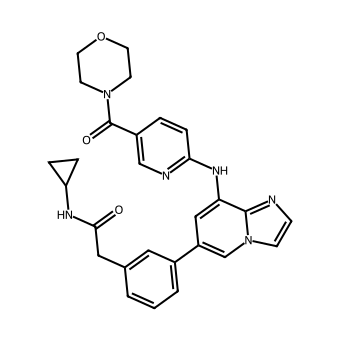 O=C(Cc1cccc(-c2cc(Nc3ccc(C(=O)N4CCOCC4)cn3)c3nccn3c2)c1)NC1CC1